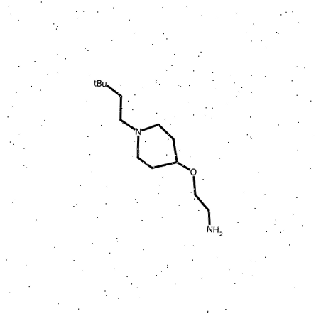 CC(C)(C)CCN1CCC(OCCN)CC1